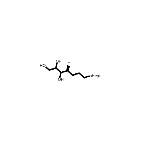 CCCCCCCCCCC(=O)C(O)C(O)CO